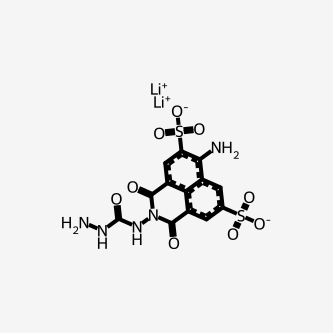 NNC(=O)NN1C(=O)c2cc(S(=O)(=O)[O-])cc3c(N)c(S(=O)(=O)[O-])cc(c23)C1=O.[Li+].[Li+]